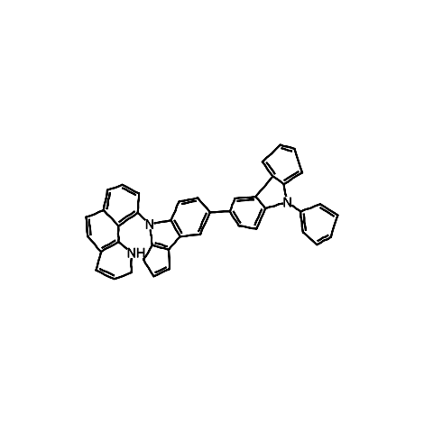 C1=Cc2ccc3cccc(-n4c5c(c6cc(-c7ccc8c(c7)c7ccccc7n8-c7ccccc7)ccc64)C=CC5)c3c2NC1